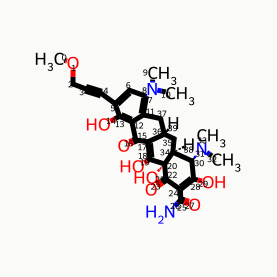 COCC#Cc1cc(N(C)C)c2c(c1O)C(=O)C1=C(O)[C@]3(O)C(=O)C(C(N)=O)=C(O)[C@@H](N(C)C)[C@@H]3C[C@@H]1C2